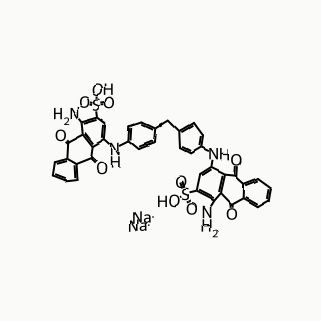 Nc1c(S(=O)(=O)O)cc(Nc2ccc(Cc3ccc(Nc4cc(S(=O)(=O)O)c(N)c5c4C(=O)c4ccccc4C5=O)cc3)cc2)c2c1C(=O)c1ccccc1C2=O.[Na].[Na]